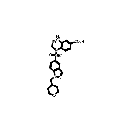 Cc1cc(C(=O)O)ccc1N(CC(C)C)S(=O)(=O)c1ccc2c(cnn2CC2CCOCC2)c1